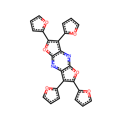 c1coc(-c2oc3nc4c(-c5ccco5)c(-c5ccco5)oc4nc3c2-c2ccco2)c1